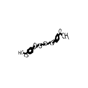 C#CC(=O)c1ccc(OCCOCCOCCOc2ccc(C(=O)C#C)cc2)cc1